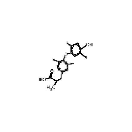 CC(Cc1cc(I)c(Oc2cc(I)c(O)cc2I)c(I)c1)C(=O)O